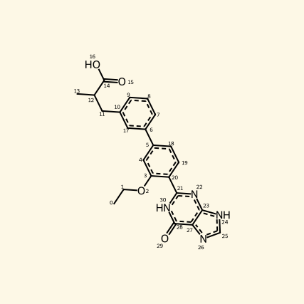 CCOc1cc(-c2cccc(CC(C)C(=O)O)c2)ccc1-c1nc2[nH]cnc2c(=O)[nH]1